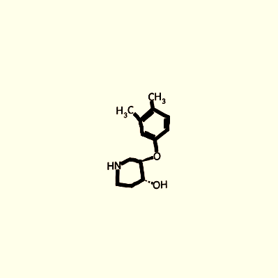 Cc1ccc(O[C@@H]2CNCC[C@H]2O)cc1C